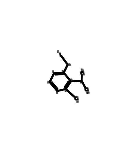 Clc1cccc(CI)c1C(Cl)Cl